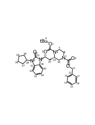 CC(C)(C)OC(=O)N1CCN(C(=O)OCc2ccccc2)C[C@H]1CCn1c(=O)n(C2CCCC2)c2ccccc21